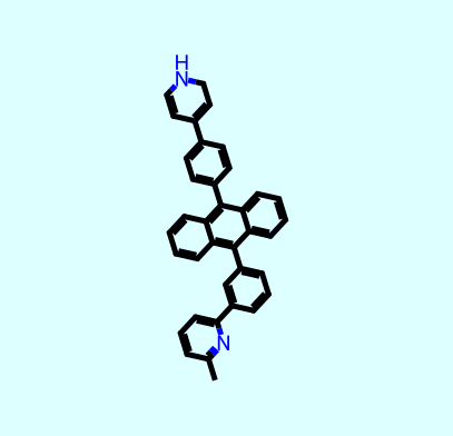 Cc1cccc(-c2cccc(-c3c4ccccc4c(-c4ccc(C5=CCNC=C5)cc4)c4ccccc34)c2)n1